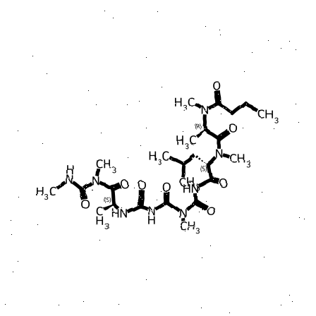 CCCC(=O)N(C)[C@H](C)C(=O)N(C)[C@@H](CC(C)C)C(=O)NC(=O)N(C)C(=O)NC(=O)N[C@@H](C)C(=O)N(C)C(=O)NC